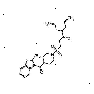 C=CCN(CC=C)C(=O)CCS(=O)(=O)N1CCN(C(=O)c2c(N)sc3ccccc23)CC1